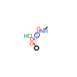 C=CCNC(=O)N1CCN(C(=O)SC(=O)c2ccccc2)CC1.Cl